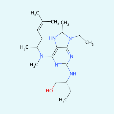 CC[C@H](CO)Nc1nc(N(C)C(C)CC=C(C)C)c2c(n1)N(CC)C(C)N2